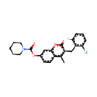 Cc1c(Cc2c(F)cccc2Cl)c(=O)oc2cc(OC(=O)N3CCCCC3)ccc12